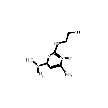 CCCNC1=[N+]([O-])C(N)=CC(N(C)C)N1